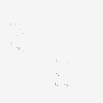 CC(C)(C)OC(=O)N1CC2(CC2c2ccccc2C(C)(O)c2ccc(-c3nc([C@@H]4CC5(CC5)CN4)n4ccnc(N)c34)cc2)C[C@H]1c1nc(-c2ccc(C(C)(O)c3ccccc3)cc2)c2c(N)nccn12